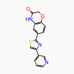 O=C1COc2ccc(-c3nc(-c4cccnc4)cs3)cc2N1